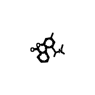 Cc1cc(C(C)N(C)C)c2c(c1)oc(=O)c1ccccc12